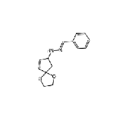 C1=CC2(CC1NN=Cc1ccccc1)OCCO2